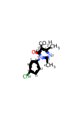 Cc1nc(C)n(-c2ccc(Cl)cc2)c(=O)c1C(=O)O